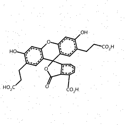 O=C(O)CCc1cc2c(cc1O)Oc1cc(O)c(CCC(=O)O)cc1C21OC(=O)c2c(C(=O)O)cccc21